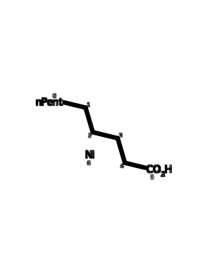 CCCCCCCCCC(=O)O.[Ni]